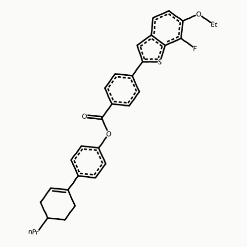 CCCC1CC=C(c2ccc(OC(=O)c3ccc(-c4cc5ccc(OCC)c(F)c5s4)cc3)cc2)CC1